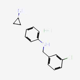 Cl.N[C@@H]1C[C@H]1c1ccc(NCc2cccc(Cl)c2)cc1